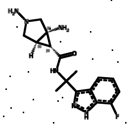 CC(C)(NC(=O)[C@@H]1[C@H]2CN(N)C[C@]21N)c1n[nH]c2c(F)cccc12